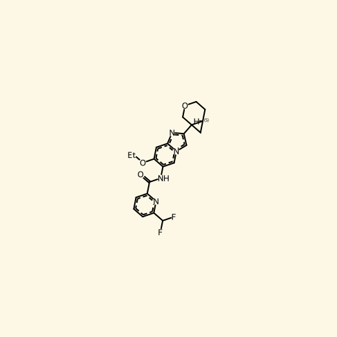 CCOc1cc2nc(C34COCC[C@@H]3C4)cn2cc1NC(=O)c1cccc(C(F)F)n1